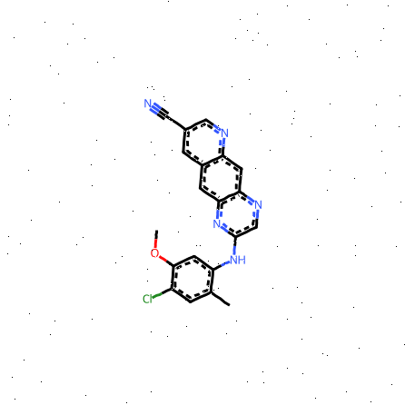 COc1cc(Nc2cnc3cc4ncc(C#N)cc4cc3n2)c(C)cc1Cl